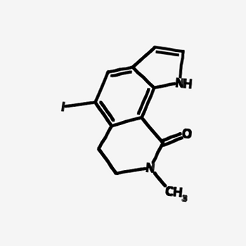 CN1CCc2c(I)cc3cc[nH]c3c2C1=O